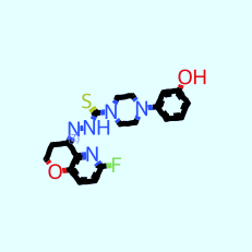 Oc1cccc(N2CCN(C(=S)N/N=C3/CCOc4ccc(F)nc43)CC2)c1